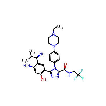 CCN1CCN(c2ccc(-n3c(C(=O)NCC(F)(F)F)nnc3-c3cc(C(=N)C(C)C)c(N)cc3O)cc2)CC1